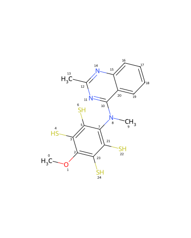 COc1c(S)c(S)c(N(C)c2nc(C)nc3ccccc23)c(S)c1S